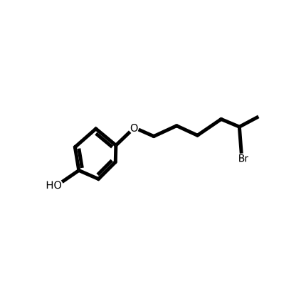 CC(Br)CCCCOc1ccc(O)cc1